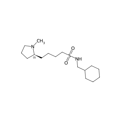 CN1CCC[C@@H]1CCCCS(=O)(=O)NCC1CCCCC1